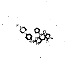 CC(C)N1CCN(c2ccc(Nc3ncc4c(n3)N(C3CCCC3)C(=O)C3(CCN(C)C3=O)C4)cc2)CC1